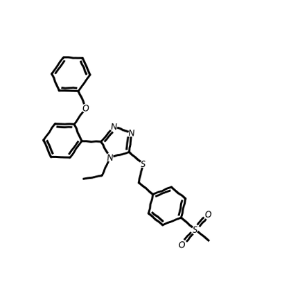 CCn1c(SCc2ccc(S(C)(=O)=O)cc2)nnc1-c1ccccc1Oc1ccccc1